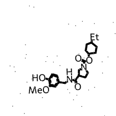 CCC1CCC(OC(=O)N2CCC(C(=O)NCc3ccc(O)c(OC)c3)C2)CC1